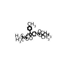 Cc1ccc(C2N(CC(=O)N(C)C)C(=O)C23CCN(C(=O)OC(C)(C)C)CC3)cc1